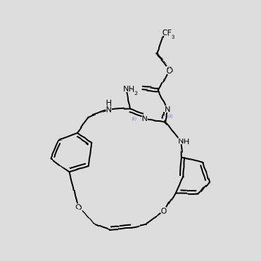 C=C(/N=C1\N=C(/N)NCc2ccc(cc2)OCC=CCOc2cccc(c2)N1)OCC(F)(F)F